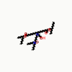 CCCCCCC(CCCC)COCC(C=O)CCCCCCCC(CCCCCCCCC(=O)OCC(CCCC)CCCCCC)N(CCCO)CCCCCC(=O)N(CCCCCC)CCCCCC